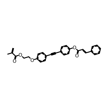 C=C(C)C(=O)OCCOc1ccc(C#Cc2ccc(OC(=O)/C=C/c3ccccc3)cc2)cc1